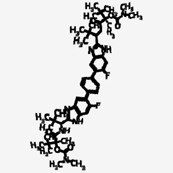 CN(C)C(=O)O[C@@](C)(C(=O)CC(c1nc2cc(-c3ccc(-c4cc5nc([C@@H](NC(=O)[C@](C)(OC(=O)N(C)C)C(C)(C)C)C(C)(C)C)[nH]c5cc4F)cc3)c(F)cc2[nH]1)C(C)(C)C)C(C)(C)C